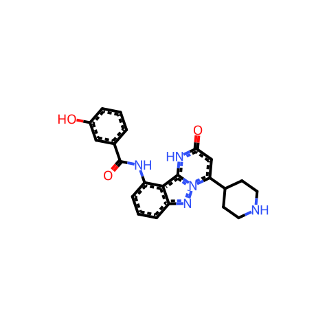 O=C(Nc1cccc2nn3c(C4CCNCC4)cc(=O)[nH]c3c12)c1cccc(O)c1